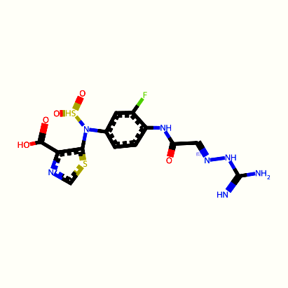 N=C(N)N/N=C/C(=O)Nc1ccc(N(c2scnc2C(=O)O)[SH](=O)=O)cc1F